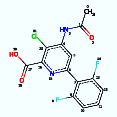 CC(=O)Nc1cc(-c2c(F)cccc2F)nc(C(=O)O)c1Cl